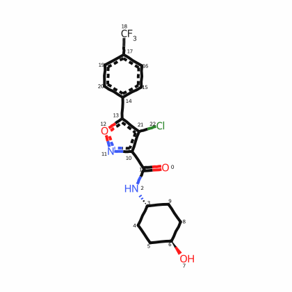 O=C(N[C@H]1CC[C@H](O)CC1)c1noc(-c2ccc(C(F)(F)F)cc2)c1Cl